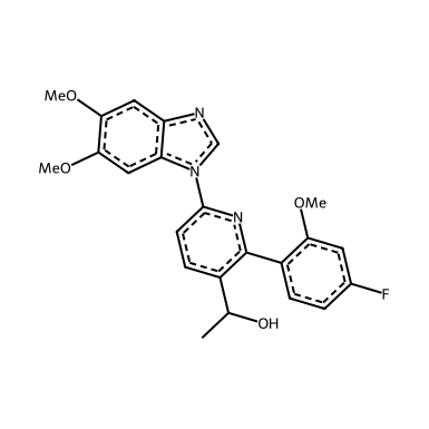 COc1cc2ncn(-c3ccc(C(C)O)c(-c4ccc(F)cc4OC)n3)c2cc1OC